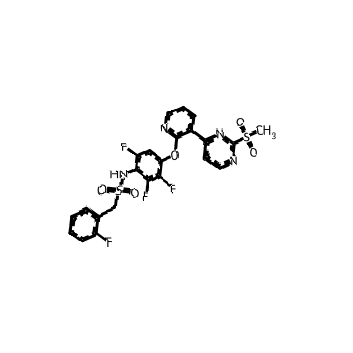 CS(=O)(=O)c1nccc(-c2cccnc2Oc2cc(F)c(NS(=O)(=O)Cc3ccccc3F)c(F)c2F)n1